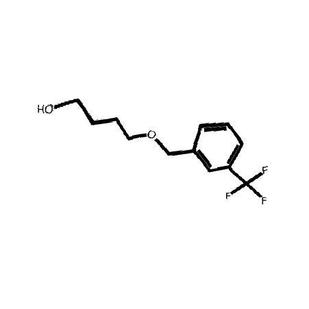 OCCCCOCc1cccc(C(F)(F)F)c1